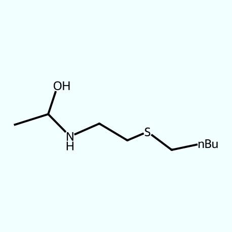 CCCCCSCCNC(C)O